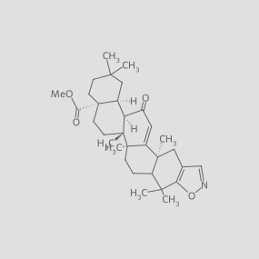 COC(=O)[C@]12CCC(C)(C)C[C@H]1[C@H]1C(=O)C=C3[C@@]4(C)Cc5cnoc5C(C)(C)C4CC[C@@]3(C)[C@]1(C)CC2